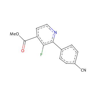 COC(=O)c1ccnc(-c2ccc(C#N)cc2)c1F